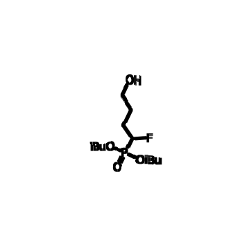 CC(C)COP(=O)(OCC(C)C)C(F)CCCO